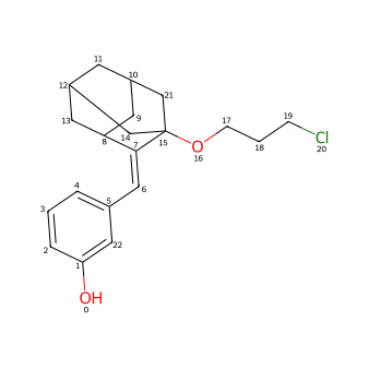 Oc1cccc(C=C2C3CC4CC(C3)CC2(OCCCCl)C4)c1